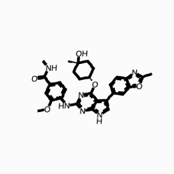 CNC(=O)c1ccc(Nc2nc(O[C@H]3CC[C@@](C)(O)CC3)c3c(-c4ccc5nc(C)oc5c4)c[nH]c3n2)c(OC)c1